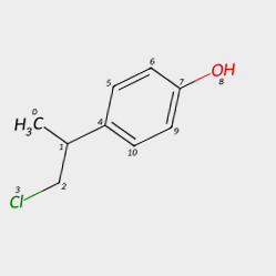 CC(CCl)c1ccc(O)cc1